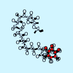 C=C[Si](C)(C)O[Si](C)(C)[Si](=O)[Si](=O)[Si](=O)[Si](=O)[Si](=O)[Si](=O)[Si](=O)[Si](=O)[Si](=O)[Si](=O)[Si](=O)[Si](=O)[Si](=O)[Si](=O)[Si](=O)[Si](=O)[Si](=O)[Si](=O)[Si](=O)[Si](=O)[Si](=O)[Si](=O)[Si](=O)[Si](=O)[Si](=O)[Si](=O)[Si](=O)[Si](=O)[Si](=O)[Si](=O)[Si](=O)[Si](=O)[Si](=O)[Si](=O)[Si](=O)[Si](=O)[SiH]=O